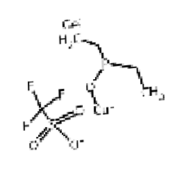 CCP(CC)[O][Cu+].O=S(=O)([O-])C(F)(F)F.[Ge]